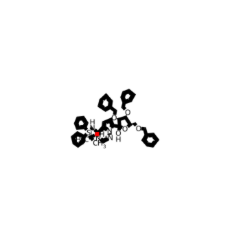 CC(C)(C)[Si](Nc1ncnn2c(C3(O)O[C@H](COCc4ccccc4)[C@@H](OCc4ccccc4)[C@H]3OCc3ccccc3)ccc12)(c1ccccc1)c1ccccc1